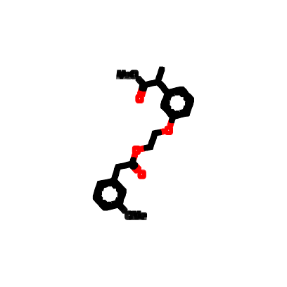 COC(=O)C(C)c1cccc(OCCOC(=O)Cc2cccc(OC)c2)c1